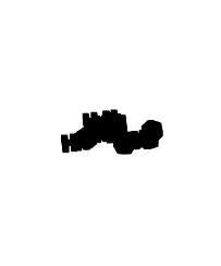 Nc1ncc(-c2cccc(CN[C@H]3CCc4ccccc43)c2)nc1-c1nc(C2CCNCC2)n[nH]1